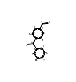 C=Cc1ccc(C(C)c2ccccc2)cc1